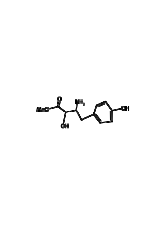 COC(=O)C(O)C(N)Cc1ccc(O)cc1